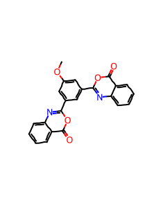 COc1cc(-c2nc3ccccc3c(=O)o2)cc(-c2nc3ccccc3c(=O)o2)c1